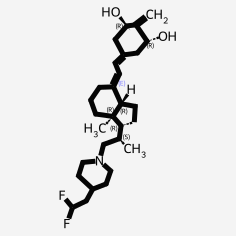 C=C1[C@H](O)CC(=C/C=C2\CCC[C@]3(C)[C@@H]([C@H](C)CN4CCC(CC(F)F)CC4)CC[C@@H]23)C[C@H]1O